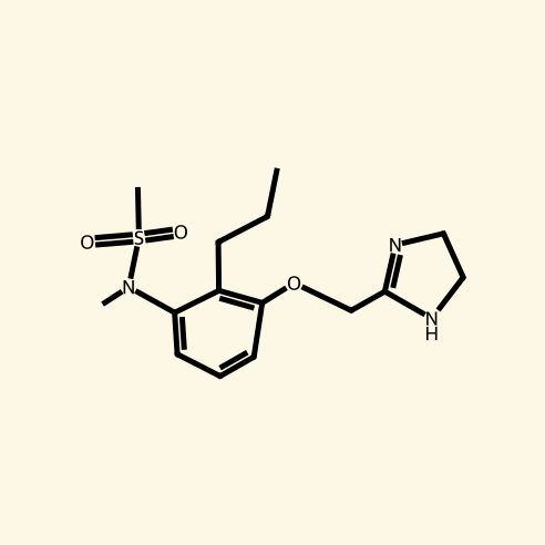 CCCc1c(OCC2=NCCN2)cccc1N(C)S(C)(=O)=O